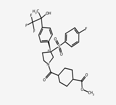 COC(=O)C1CCC(C(=O)N2CC[C@](c3ccc(C(C)(O)C(F)(F)F)cc3)(S(=O)(=O)c3ccc(F)cc3)C2)CC1